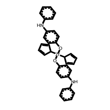 C1=C[CH]([Zr]([O]c2ccc(Nc3ccccc3)cc2)([O]c2ccc(Nc3ccccc3)cc2)[CH]2C=CC=C2)C=C1